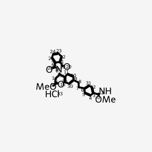 COC(=N)c1ccc(CCc2ccc(C(CC(=O)OC)N3C(=O)c4ccccc4C3=O)cc2)cc1.Cl